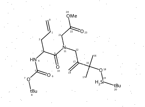 C=CCC(NC(=O)OC(C)(C)C)C(=O)N(CC(=C)C(C)(C)O[SiH2]C(C)(C)C)CC(=O)OC